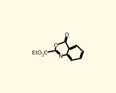 CCOC(=O)c1nc2ccccc2c(=O)o1